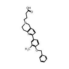 Cc1cc(-c2ccc3c(n2)CCN(CCCC(=O)O)C3)ccc1OCc1ccccc1